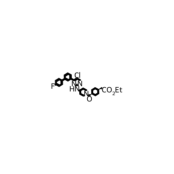 CCOC(=O)C[C@H]1CC[C@@H](C(=O)N2CCC(Nc3ncc(Cl)c(-c4cccc(-c5ccc(F)cc5)c4)n3)CC2)CC1